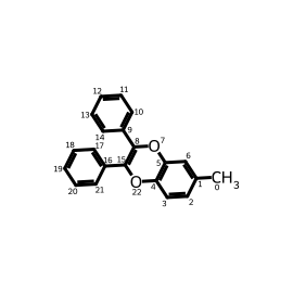 Cc1ccc2c(c1)OC(c1ccccc1)=C(c1ccccc1)O2